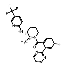 C[C@H]1[C@H](Nc2ccc(C(F)(F)F)cn2)CCCN1C(=O)C1=CCC(F)C=C1c1ncccn1